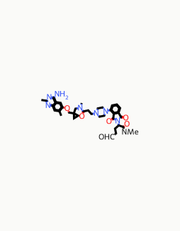 CNC(=O)C(CCC=O)N1C(=O)c2cccc(N3CCN(CCC(=O)N(C)CC4(COc5cc6c(N)nc(C)nc6cc5C)CC4)CC3)c2C1=O